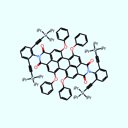 CC(C)[Si](C#Cc1cccc(C#C[Si](C(C)C)(C(C)C)C(C)C)c1N1C(=O)c2cc(Oc3ccccc3)c3c4c(Oc5ccccc5)cc5c6c(cc(Oc7ccccc7)c(c7c(Oc8ccccc8)cc(c2c37)C1=O)c64)C(=O)N(c1c(C#C[Si](C(C)C)(C(C)C)C(C)C)cccc1C#C[Si](C(C)C)(C(C)C)C(C)C)C5=O)(C(C)C)C(C)C